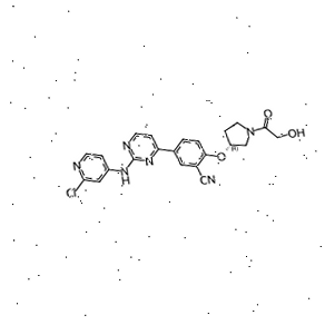 N#Cc1cc(-c2ccnc(Nc3ccnc(Cl)c3)n2)ccc1O[C@@H]1CCN(C(=O)CO)C1